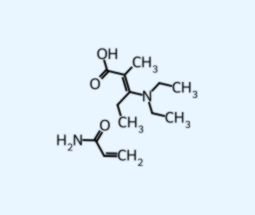 C=CC(N)=O.CC/C(=C(/C)C(=O)O)N(CC)CC